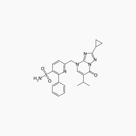 CC(C)c1cn(Cc2ccc(S(N)(=O)=O)c(-c3ccccc3)n2)c2nc(C3CC3)nn2c1=O